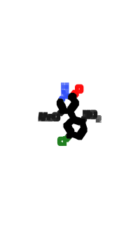 COc1c[nH]c(=O)cc1-c1cc(Cl)ccc1[N+](=O)[O-]